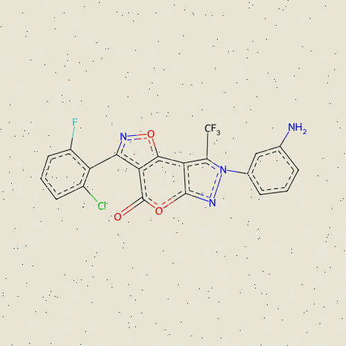 Nc1cccc(-n2nc3oc(=O)c4c(-c5c(F)cccc5Cl)noc4c3c2C(F)(F)F)c1